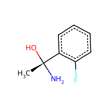 C[C@@](N)(O)c1ccccc1F